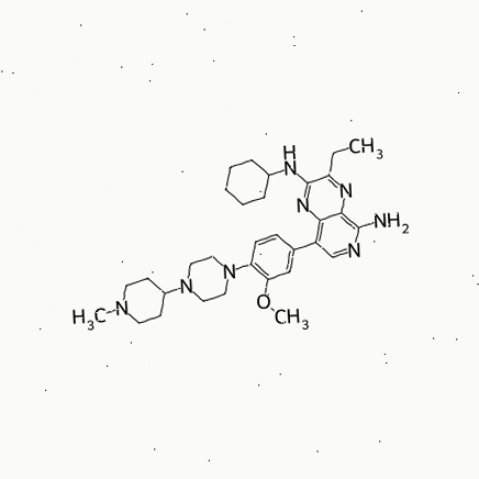 CCc1nc2c(N)ncc(-c3ccc(N4CCN(C5CCN(C)CC5)CC4)c(OC)c3)c2nc1NC1CCCCC1